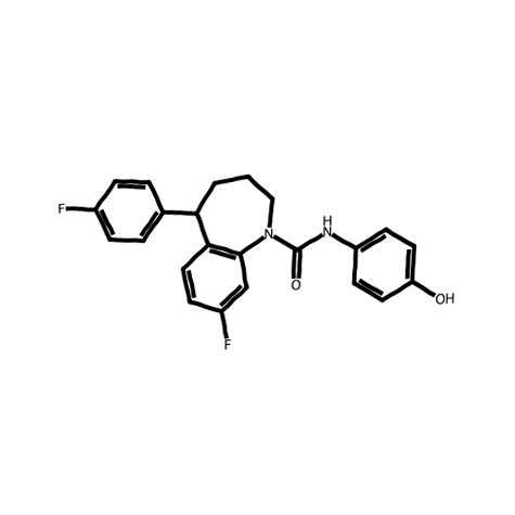 O=C(Nc1ccc(O)cc1)N1CCCC(c2ccc(F)cc2)c2ccc(F)cc21